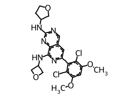 COc1cc(OC)c(Cl)c(-c2cc3cnc(NC4CCOC4)nc3c(NC3COC3)n2)c1Cl